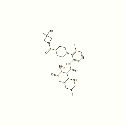 CN1CC(F)CNC1C(C(=O)Nc1cncc(F)c1N1CCC(C(=O)N2CC(C)(O)C2)CC1)C(N)N=O